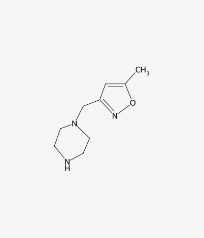 Cc1cc(CN2CCNCC2)no1